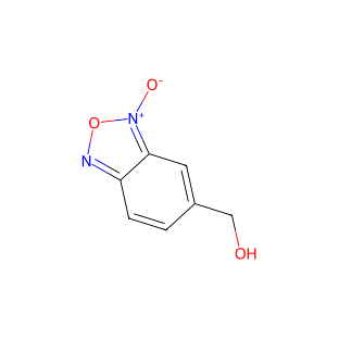 [O-][n+]1onc2ccc(CO)cc21